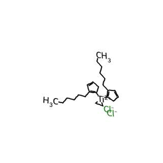 CCCCCCC1=[C]([Ti+2]2([C]3=C(CCCCCC)C=CC3)[CH2][CH2]2)CC=C1.[Cl-].[Cl-]